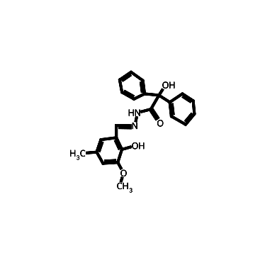 COc1cc(C)cc(/C=N/NC(=O)C(O)(c2ccccc2)c2ccccc2)c1O